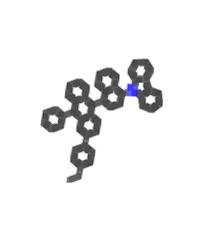 CCc1ccc(-c2ccc3c(-c4ccc(-n5c6ccccc6c6ccccc65)c5ccccc45)c4ccccc4c(-c4ccccc4)c3c2)cc1